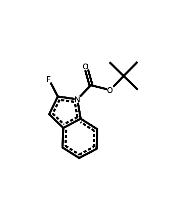 CC(C)(C)OC(=O)n1c(F)cc2ccccc21